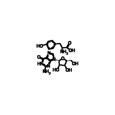 NC(Cc1ccc(O)cc1)C(=O)O.Nc1nc2c(ncn2[C@@H]2O[C@H](CO)[C@@H](O)[C@H]2O)c(=O)[nH]1